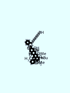 B=BB=BB=BB=C(Sc1noc2c1[C@H](O)[C@]1(O)C(=O)c3c(c4c5c(c(OC)cc(OCCCC)c5c3OC)[C@@]3(C4)C(C)=CCCC3(C)C)C(=O)[C@@H]1C2)c1ccccc1